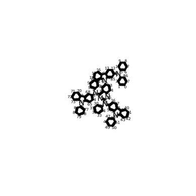 c1ccc(N(c2ccccc2)c2ccc3c4ccccc4n(-c4ccc5nc(N(c6ccccc6)c6ccc7c8ccccc8n(-c8ccccc8)c7c6)nc(N(c6ccccc6)c6ccc7c(c6)c6ccccc6n7-c6ccccc6)c5c4)c3c2)cc1